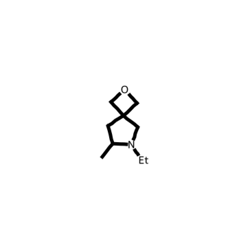 CCN1CC2(COC2)CC1C